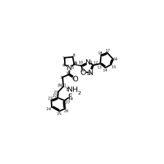 N[C@@H](CC(=O)N1CCC[C@H]1c1nc(-c2ccccc2)no1)Cc1ccccc1F